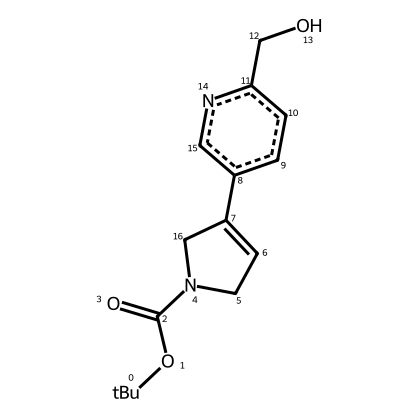 CC(C)(C)OC(=O)N1CC=C(c2ccc(CO)nc2)C1